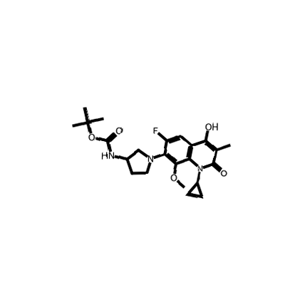 COc1c(N2CCC(NC(=O)OC(C)(C)C)C2)c(F)cc2c(O)c(C)c(=O)n(C3CC3)c12